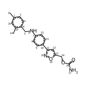 Cc1ccc(CNc2ccc(-c3cc(COC(N)=O)on3)cc2)c(C)c1